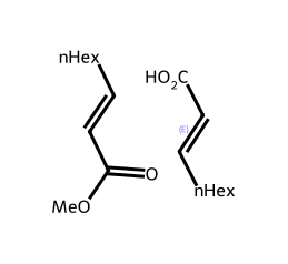 CCCCCC/C=C/C(=O)O.CCCCCCC=CC(=O)OC